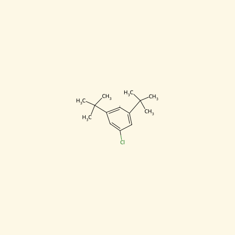 CC(C)(C)c1[c]c(C(C)(C)C)cc(Cl)c1